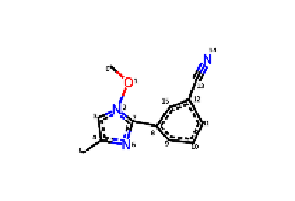 COn1cc(C)nc1-c1cccc(C#N)c1